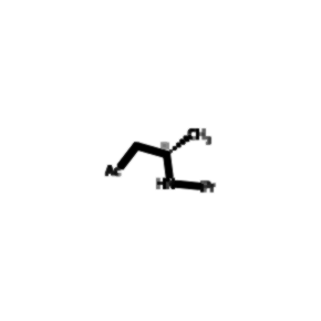 CC(=O)C[C@H](C)NC(C)C